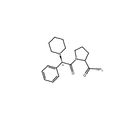 NC(=O)C1CCCN1C(=O)[C@@H](c1ccccc1)N1CCCCC1